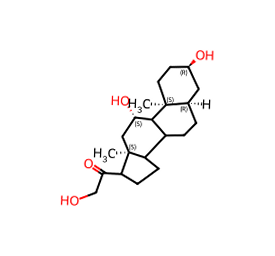 C[C@]12C[C@H](O)C3C(CC[C@@H]4C[C@H](O)CC[C@]34C)C1CCC2C(=O)CO